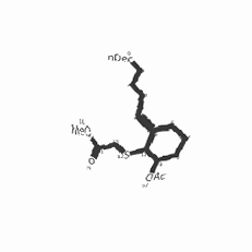 CCCCCCCCCCCCCC=C1CCCC(OC(C)=O)C1SCC(=O)OC